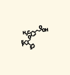 Cc1cc(CCC(=O)O)ccc1OCC1=C(c2cccs2)CC(F)(F)C1